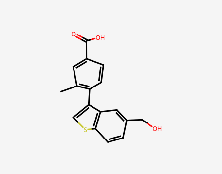 Cc1cc(C(=O)O)ccc1-c1csc2ccc(CO)cc12